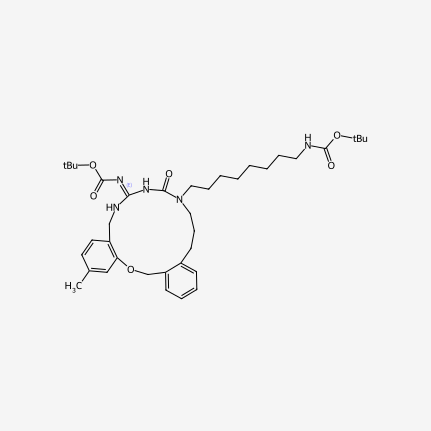 Cc1ccc2c(c1)OCc1ccccc1CCCN(CCCCCCCCNC(=O)OC(C)(C)C)C(=O)N/C(=N/C(=O)OC(C)(C)C)NC2